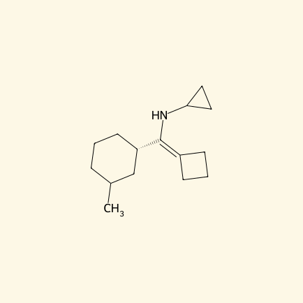 CC1CCC[C@H](C(NC2CC2)=C2CCC2)C1